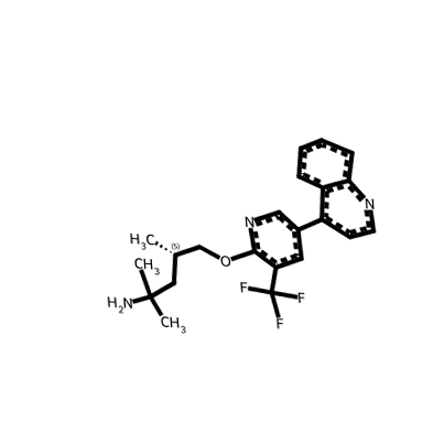 C[C@H](COc1ncc(-c2ccnc3ccccc23)cc1C(F)(F)F)CC(C)(C)N